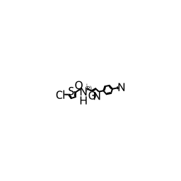 C[C@@H](NC(=O)c1ccc(Cl)s1)c1cc(-c2ccc(C#N)cc2)no1